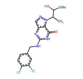 COC(O)C(C)n1ncc2nc(NCc3ccc(Cl)c(Cl)c3)[nH]c(=O)c21